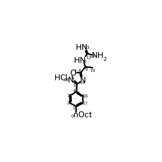 CCCCCCCCc1ccc(-c2noc(C(C)NC(=N)N)n2)cc1.Cl